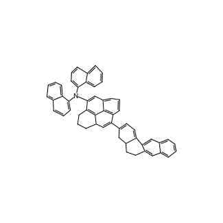 C1=C(C2=CC3CCCc4c(N(c5cccc6ccccc56)c5cccc6ccccc56)cc5cccc2c5c43)CC2CCc3cc4ccccc4cc3C2=C1